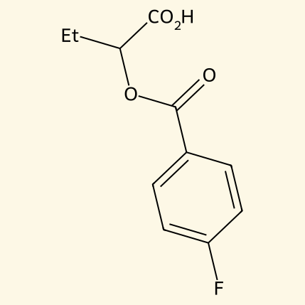 CCC(OC(=O)c1ccc(F)cc1)C(=O)O